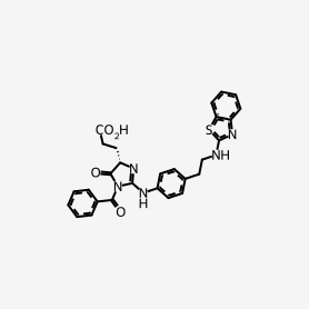 O=C(O)CC[C@@H]1N=C(Nc2ccc(CCNc3nc4ccccc4s3)cc2)N(C(=O)c2ccccc2)C1=O